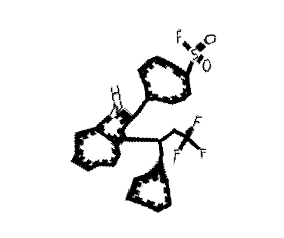 O=S(=O)(F)c1ccc(-c2[nH]c3ccccc3c2C(CC(F)(F)F)c2ccccc2)cc1